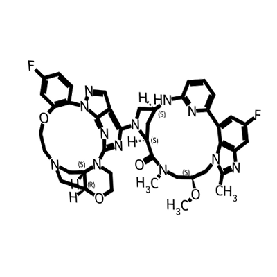 CO[C@H]1CN(C)C(=O)[C@@H]2C[C@@H](CN2c2nc3nc4c2cnn4-c2ccc(F)cc2OCCN2C[C@H]4OCCN3[C@H]4C2)Nc2cccc(n2)-c2cc(F)cc3nc(C)n(c23)C1